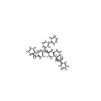 c1ccc(-c2cccc(N(c3ccc4c(ccc5oc(-c6ccccc6)nc54)c3)c3ccc4oc5ccccc5c4c3)c2)cc1